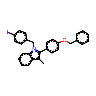 Cc1c(-c2ccc(OCc3ccccc3)cc2)n(Cc2ccc(I)cc2)c2ccccc12